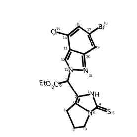 CCOC(=O)C(c1[nH]c(=S)n2c1CCC2)n1cc2c(Cl)cc(Br)cc2n1